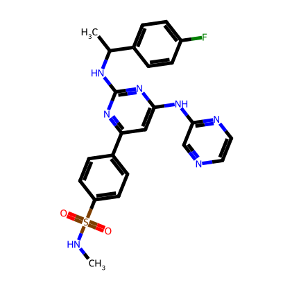 CNS(=O)(=O)c1ccc(-c2cc(Nc3cnccn3)nc(NC(C)c3ccc(F)cc3)n2)cc1